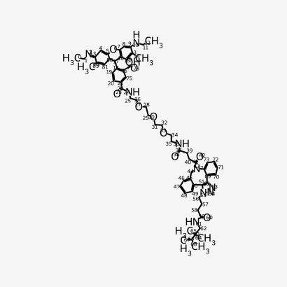 CC/N=C1/C=C2Oc3cc(NCC)c(C)cc3C(c3ccc(C(=O)NCCOCCOCCOCCNC(=O)CCC(=O)N4Cc5ccccc5-c5c(nnn5CCCC(=O)NCC(C)(C)C(C)C)-c5ccccc54)cc3C(=O)O)C2C=C1C